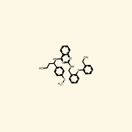 CSc1ccc(C(CCO)Nc2nc(NCc3ccccc3Sc3ccccc3CO)nc3ccccc23)cc1